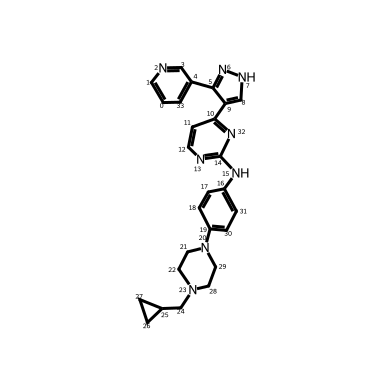 c1cncc(-c2n[nH]cc2-c2ccnc(Nc3ccc(N4CCN(CC5CC5)CC4)cc3)n2)c1